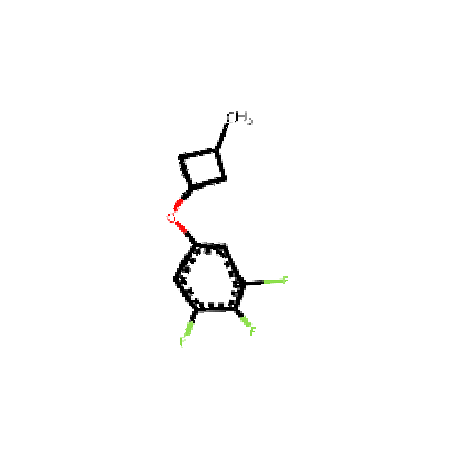 CC1CC(Oc2cc(F)c(F)c(F)c2)C1